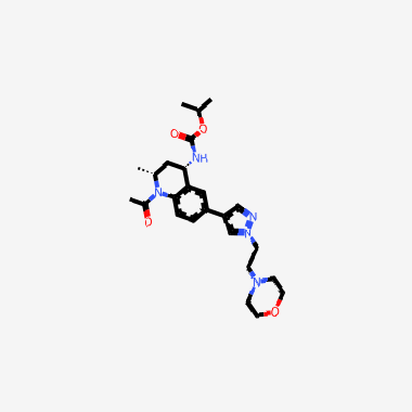 CC(=O)N1c2ccc(-c3cnn(CCN4CCOCC4)c3)cc2[C@@H](NC(=O)OC(C)C)C[C@H]1C